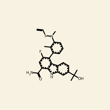 C=CSN(C)c1cccc(-c2c(F)cc(C(N)=O)c3[nH]c4cc(C(C)(C)O)ccc4c23)c1C